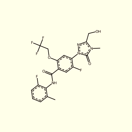 Cc1cccc(F)c1NC(=O)c1cc(F)c(-n2nc(CO)n(C)c2=O)cc1OCC(F)(F)F